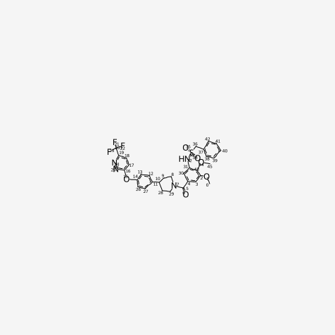 COc1cc(C(=O)N2CCC(c3ccc(Oc4ccc(C(F)(F)F)nn4)cc3)CC2)cc(NS(=O)(=O)Cc2ccccc2)c1OC